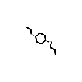 C=CCO[C@H]1CC[C@H](CCC)CC1